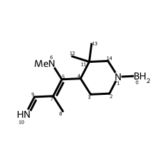 BN1CCC(/C(NC)=C(\C)C=N)C(C)(C)C1